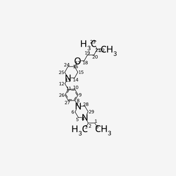 CCC(C)N1CCN(c2ccc(CN3CCC(OCCCC(C)C)CC3)cc2)CC1